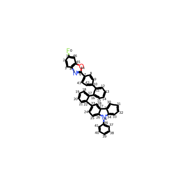 Fc1ccc2nc(-c3ccc(-c4ccccc4-c4ccccc4-c4ccc5c(c4)c4ccccc4n5-c4ccccc4)cc3)oc2c1